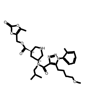 COCCCCc1c(C(=O)N(CC(C)C)[C@@H]2CNC[C@H](C(=O)OCc3oc(=O)oc3C)C2)nnn1-c1ccccc1C